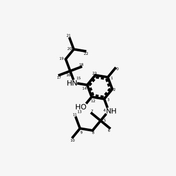 Cc1cc(NC(C)(C)CC(C)C)c(O)c(NC(C)(C)CC(C)C)c1